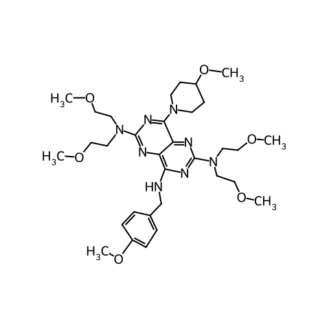 COCCN(CCOC)c1nc(N2CCC(OC)CC2)c2nc(N(CCOC)CCOC)nc(NCc3ccc(OC)cc3)c2n1